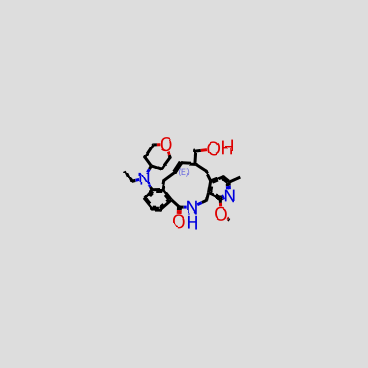 CCN(c1cccc2c1C/C=C/C(CO)Cc1cc(C)nc(OC)c1CNC2=O)C1CCOCC1